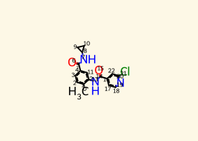 Cc1ccc(C(=O)NC2CC2)cc1NC(=O)c1ccnc(Cl)c1